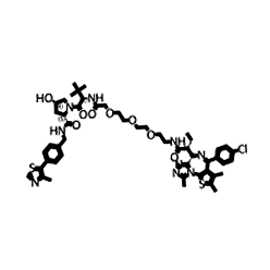 CC[C@@H](C(=O)NCCOCCOCCOCC(=O)N[C@H](C(=O)N1C[C@H](O)C[C@H]1C(=O)NCc1ccc(-c2scnc2C)cc1)C(C)(C)C)[C@@H]1N=C(c2ccc(Cl)cc2)c2c(sc(C)c2C)-n2c(C)nnc21